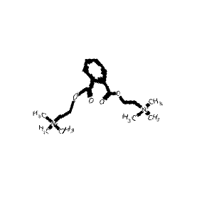 C[N+](C)(C)CCOC(=O)c1ccccc1C(=O)OCC[N+](C)(C)C